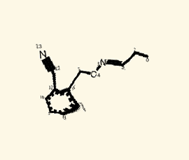 CCC=NOCc1ccccc1C#N